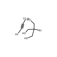 CCC(CO)(CO)CO.O=C(O)C#CS